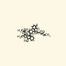 COC(=O)NCCC[C@@](O)(c1cccc(F)c1Cl)[C@@H]1CCCN(C(=O)N[C@H](CN(C)C(=O)OC(C)(C)C)[C@@H](O)C2CCCCC2)C1